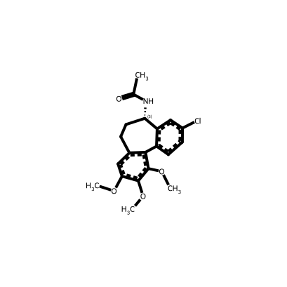 COc1cc2c(c(OC)c1OC)-c1ccc(Cl)cc1[C@@H](NC(C)=O)CC2